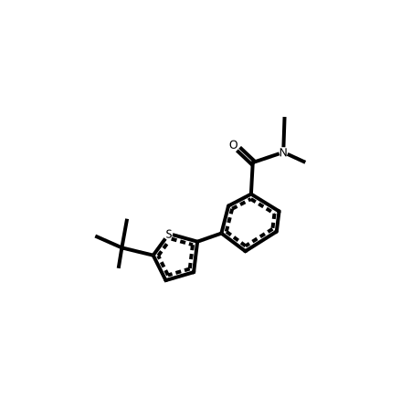 CN(C)C(=O)c1cccc(-c2ccc(C(C)(C)C)s2)c1